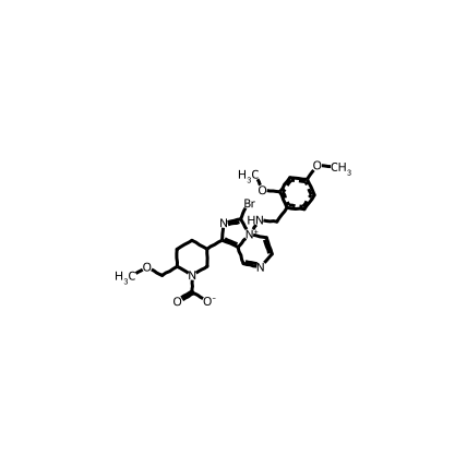 COCC1CCC(C2=C3C=NC=C[N+]3(NCc3ccc(OC)cc3OC)C(Br)=N2)CN1C(=O)[O-]